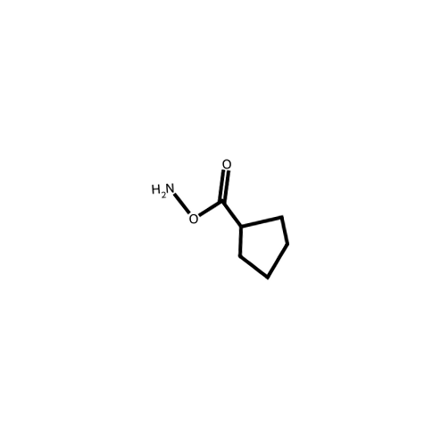 NOC(=O)C1CCCC1